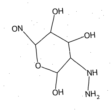 NNC1C(O)OC(N=O)C(O)C1O